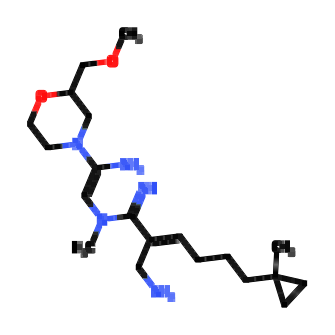 COCC1CN(/C(N)=C/N(C)C(=N)C(=CCCCC2(C)CC2)CN)CCO1